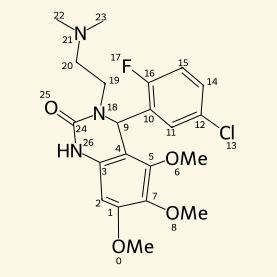 COc1cc2c(c(OC)c1OC)C(c1cc(Cl)ccc1F)N(CCN(C)C)C(=O)N2